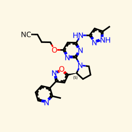 Cc1cc(Nc2cc(OCCCC#N)nc(N3CCC[C@H]3c3cc(-c4cccnc4C)no3)n2)n[nH]1